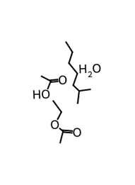 CC(=O)O.CCCCCC(C)C.CCOC(C)=O.O